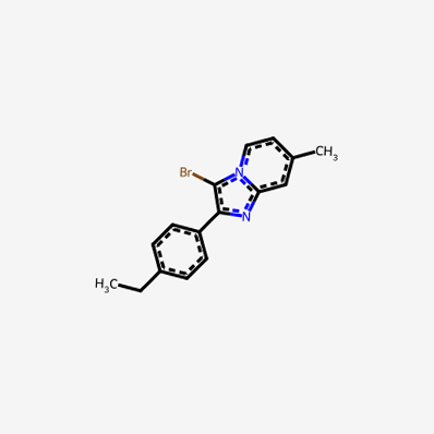 CCc1ccc(-c2nc3cc(C)ccn3c2Br)cc1